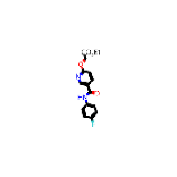 CCOC(=O)COc1ccc(C(=O)Nc2ccc(F)cc2)cn1